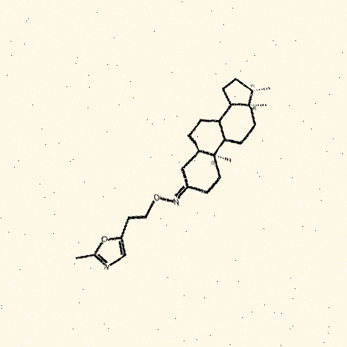 Cc1ncc(CCON=C2CC[C@@]3(C)C(CCC4C3CC[C@@]3(C)C4CC[C@@H]3C)C2)o1